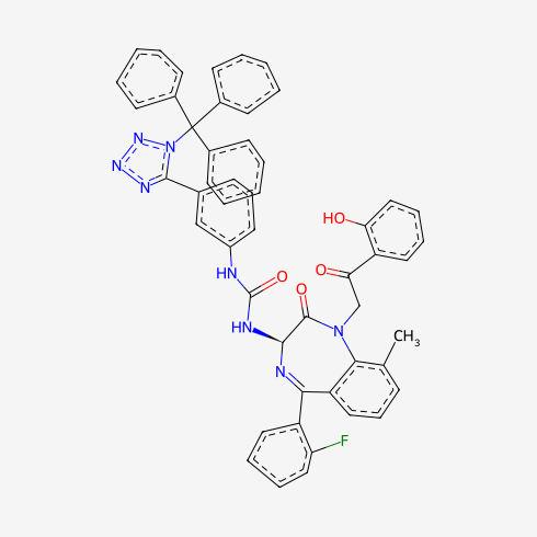 Cc1cccc2c1N(CC(=O)c1ccccc1O)C(=O)[C@H](NC(=O)Nc1cccc(-c3nnnn3C(c3ccccc3)(c3ccccc3)c3ccccc3)c1)N=C2c1ccccc1F